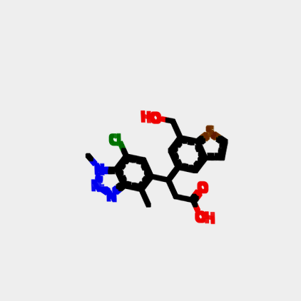 Cc1c(C(CC(=O)O)c2cc(CO)c3sccc3c2)cc(Cl)c2c1nnn2C